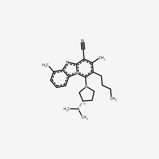 CCCCc1c(C)c(C#N)c2nc3c(C)cccc3n2c1N1CC[C@H](N(C)C)C1